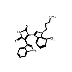 CNCCCn1cc(C2=C(c3c[nH]c4ccccc34)C(=O)NC2=O)c2cccc(C(F)(F)F)c21